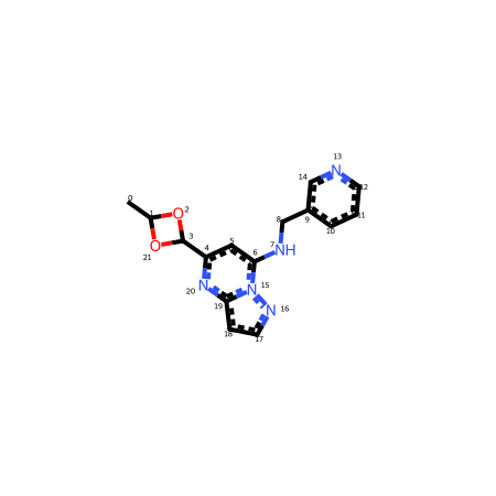 CC1OC(c2cc(NCc3cccnc3)n3nccc3n2)O1